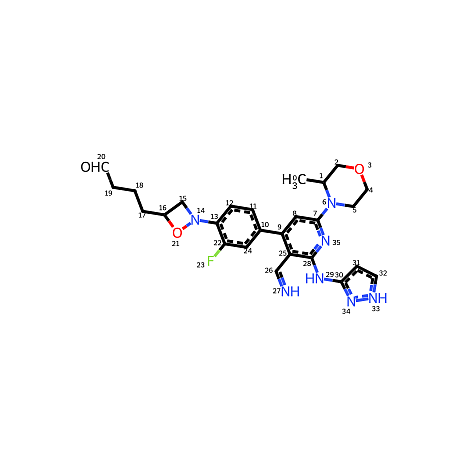 CC1COCCN1c1cc(-c2ccc(N3CC(CCCC=O)O3)c(F)c2)c(C=N)c(Nc2cc[nH]n2)n1